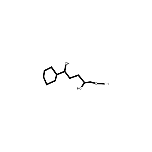 OCCC(O)CCC(O)C1CCCCC1